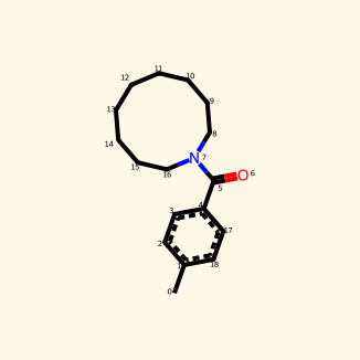 Cc1ccc(C(=O)N2CCCCCCCCC2)cc1